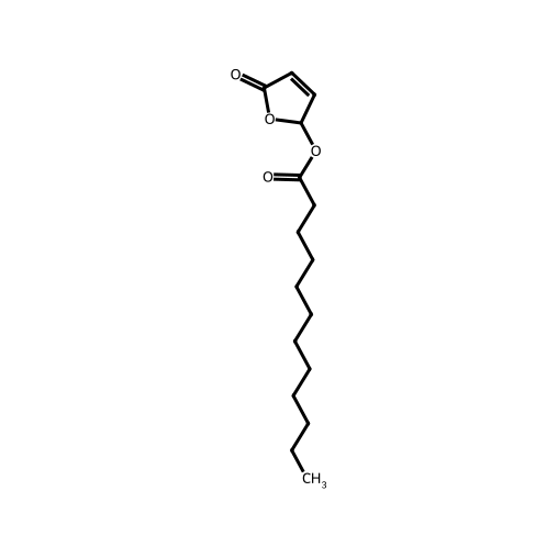 CCCCCCCCCCCC(=O)OC1C=CC(=O)O1